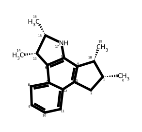 C[C@@H]1Cc2c(c3c(c4ccccc24)[C@H](C)[C@H](C)N3)[C@@H]1C